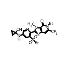 CCn1c(C(F)(F)F)cc2nc(-c3ncc(NC4(C#N)CC4)cc3S(=O)(=O)CC)n(C)c2c1=O